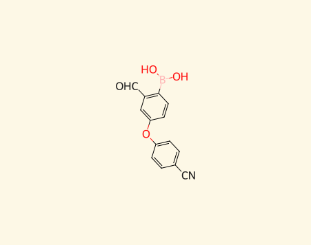 N#Cc1ccc(Oc2ccc(B(O)O)c(C=O)c2)cc1